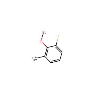 CCOc1c(F)cccc1C(F)(F)F